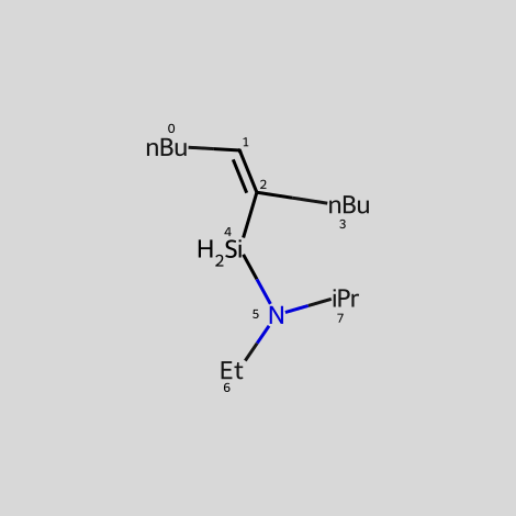 CCCCC=C(CCCC)[SiH2]N(CC)C(C)C